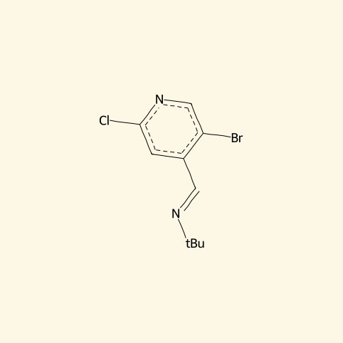 CC(C)(C)N=Cc1cc(Cl)ncc1Br